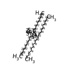 CCCCCCCCCCCN(CCCCCCCCCCC)C(=S)[S-].CCCCCCCCCCCN(CCCCCCCCCCC)C(=S)[S-].[Zn+2]